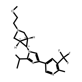 COCCN1C[C@@H]2[C@H](C1)[C@H]2n1cc(-c2cnc(C)c(C(F)(F)F)c2)nc1C(C)C